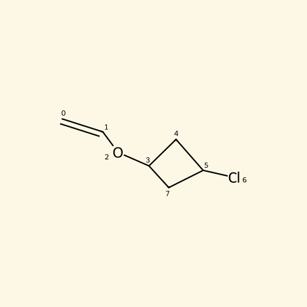 C=COC1CC(Cl)C1